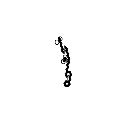 COC(=O)CCN1CCN(CC2CN(CCCCC3CCN(Cc4ccccc4)CC3)C(=O)O2)CC1